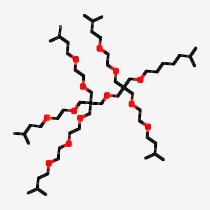 CC(C)CCCCCOCC(COCCOCCC(C)C)(COCCOCCC(C)C)COCC(COCCOCCOCCC(C)C)(COCCOCCC(C)C)COCCOCCC(C)C